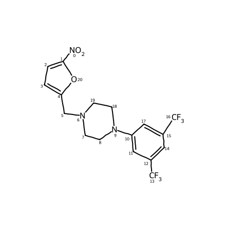 O=[N+]([O-])c1ccc(CN2CCN(c3cc(C(F)(F)F)cc(C(F)(F)F)c3)CC2)o1